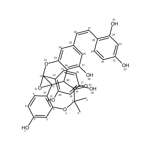 CC1(C)Oc2cc(O)ccc2C23OC2(c2ccc(O)cc2O)Oc2cc(/C=C\c4ccc(O)cc4O)cc(O)c2C3C1=O